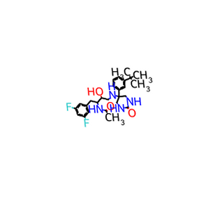 CC(=O)NC(Cc1cc(F)cc(F)c1)C(O)CNC1(c2cccc(C(C)(C)C)c2)CNC(=O)NC1